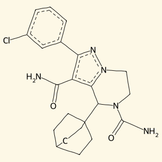 NC(=O)c1c(-c2cccc(Cl)c2)nn2c1C(C13CCC(CC1)CC3)N(C(N)=O)CC2